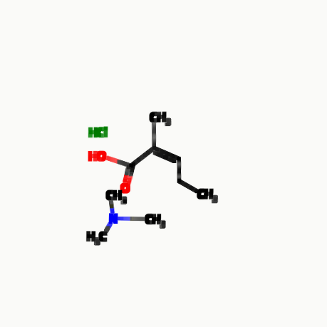 CCC=C(C)C(=O)O.CN(C)C.Cl